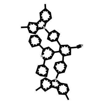 Cc1ccc2c(c1)c1cc(C)ccc1n2-c1ccc(-c2cc(C#N)cc(-c3ccc(-n4c5ccc(C)cc5c5cc(C)ccc54)cc3)c2-c2cc(-c3ccccc3)nc(-c3ccccc3)c2)cc1